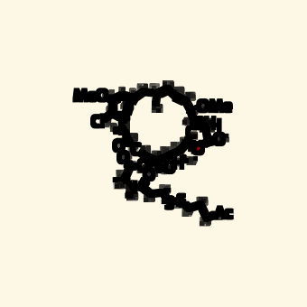 COc1cc2cc(c1Cl)N(C)C(=O)C[C@@H](OC(=O)[C@@H](C)N(C)C(=O)CCSSCCCC(C)=O)[C@@]1(C)CO[C@@H]1[C@@H](C)[C@H]1C[C@](O)(NC(=O)O1)[C@@H](OC)/C=C/C=C(\C)C2